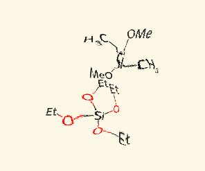 CCO[Si](OCC)(OCC)OCC.CO[Si](C)(C)OC